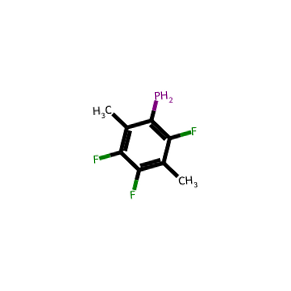 Cc1c(F)c(F)c(C)c(P)c1F